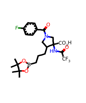 CC1(C)OB(CCCC2CN(C(=O)c3ccc(F)cc3)CC2(NC(=O)C(F)(F)F)C(=O)O)OC1(C)C